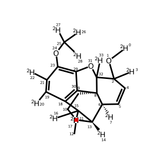 [2H]OC1([2H])C=C[C@]2([2H])[C@@]34CCN(C)[C@]2([2H])C([2H])([2H])c2c([2H])c([2H])c(OC([2H])([2H])[2H])c(c23)OC14[2H]